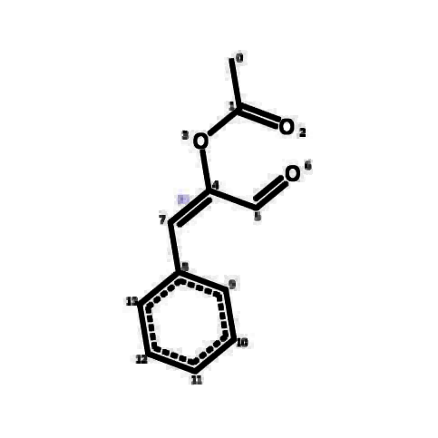 CC(=O)O/C(C=O)=C/c1ccccc1